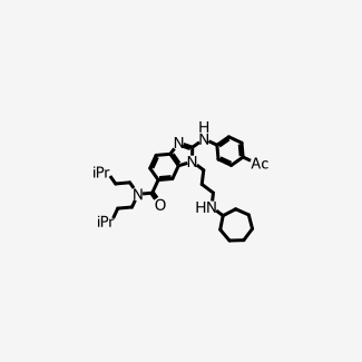 CC(=O)c1ccc(Nc2nc3ccc(C(=O)N(CCC(C)C)CCC(C)C)cc3n2CCCNC2CCCCCC2)cc1